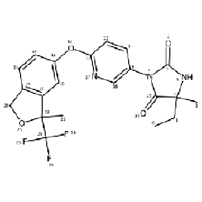 CCC1(C)NC(=O)N(c2ccc(Oc3ccc4c(c3)C(C)(C(F)(F)F)OC4)nc2)C1=O